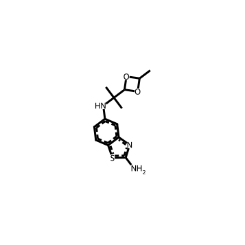 CC1OC(C(C)(C)Nc2ccc3sc(N)nc3c2)O1